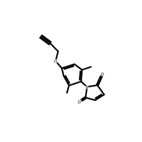 C#CCOc1cc(C)c(N2C(=O)C=CC2=O)c(C)c1